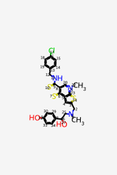 CN(Cc1cc2c(=S)c(C(=S)NCc3ccc(Cl)cc3)cn(C)c2s1)CC(O)c1ccc(O)cc1